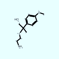 COc1ccc(C(C)(C)SCCN)cc1.Cl